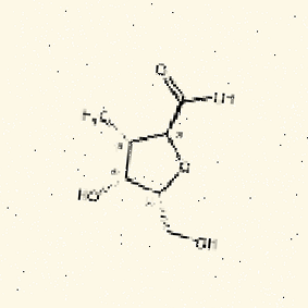 C[C@H]1[C@@H](O)[C@@H](CO)O[C@@H]1C(=O)O